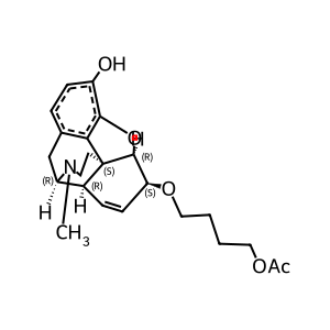 CC(=O)OCCCCO[C@H]1C=C[C@H]2[C@H]3Cc4ccc(O)c5c4[C@@]2(CCN3C)[C@H]1O5